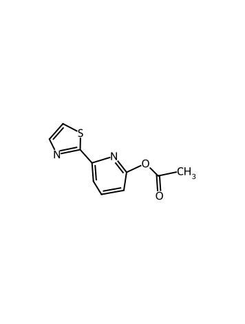 CC(=O)Oc1cccc(-c2nccs2)n1